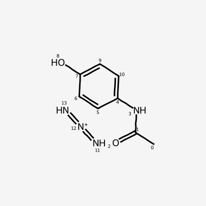 CC(=O)Nc1ccc(O)cc1.N=[N+]=N